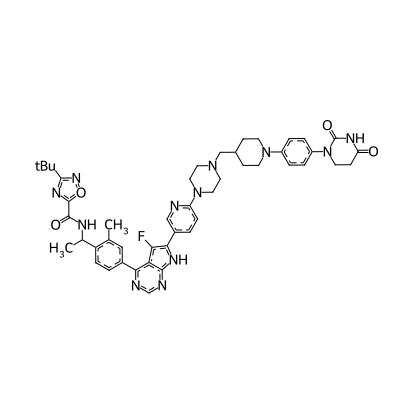 Cc1cc(-c2ncnc3[nH]c(-c4ccc(N5CCN(CC6CCN(c7ccc(N8CCC(=O)NC8=O)cc7)CC6)CC5)nc4)c(F)c23)ccc1C(C)NC(=O)c1nc(C(C)(C)C)no1